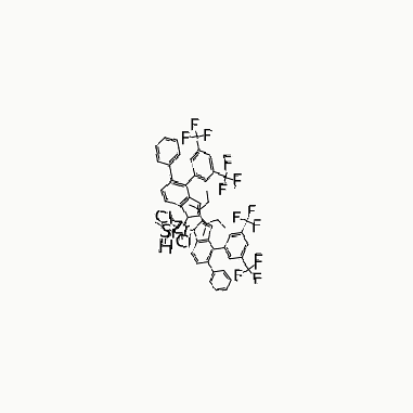 CCC(C)C1=Cc2c(ccc(-c3ccccc3)c2-c2cc(C(F)(F)F)cc(C(F)(F)F)c2)[CH]1[Zr]([Cl])([Cl])([CH]1C(C(C)CC)=Cc2c1ccc(-c1ccccc1)c2-c1cc(C(F)(F)F)cc(C(F)(F)F)c1)[SiH](C)C